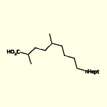 CCCCCCCCCCCC(C)CCC(C)C(=O)O